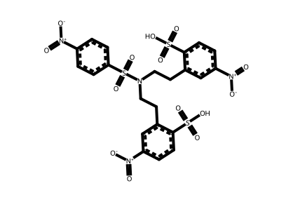 O=[N+]([O-])c1ccc(S(=O)(=O)N(CCc2cc([N+](=O)[O-])ccc2S(=O)(=O)O)CCc2cc([N+](=O)[O-])ccc2S(=O)(=O)O)cc1